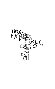 C=C(C)C(=O)OC1CC(C(CC)(CC)OCC(C)(C)O)CC(C(CC)(CC)OCC(O)(C(F)(F)F)C(F)(F)F)C1